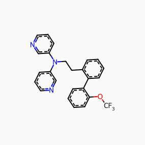 FC(F)(F)Oc1ccccc1-c1ccccc1CCN(c1cccnc1)c1cccnc1